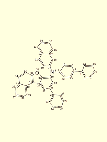 c1ccc(-c2ccc(N(c3ccc4ccccc4c3)c3cc(-c4ccccc4)cc4c3oc3ccc5ccccc5c34)cc2)cc1